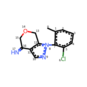 Cc1cccc(Cl)c1-n1ncc2c1COCC2=N